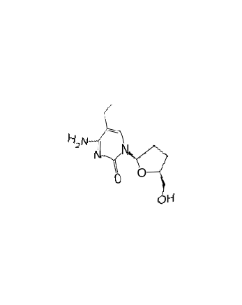 CCc1cn([C@H]2CC[C@@H](CO)O2)c(=O)nc1N